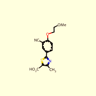 COCCOc1ccc(-c2nc(C)c(C(=O)O)s2)cc1C#N